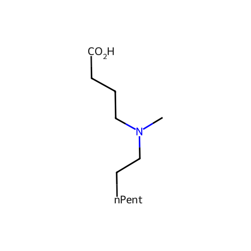 CCCCCCCN(C)CCCC(=O)O